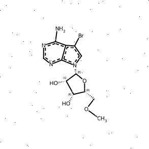 COC[C@H]1O[C@@H](n2cc(Br)c3c(N)ncnc32)[C@@H](O)[C@H]1O